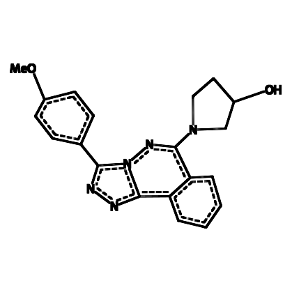 COc1ccc(-c2nnc3c4ccccc4c(N4CCC(O)C4)nn23)cc1